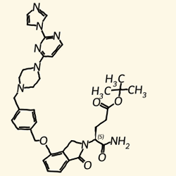 CC(C)(C)OC(=O)CC[C@@H](C(N)=O)N1Cc2c(OCc3ccc(CN4CCN(c5ccnc(-n6ccnc6)n5)CC4)cc3)cccc2C1=O